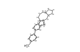 Cc1ccc(-c2ccc3c(c2)nc2n3CCCN3CCCC3C2)cc1